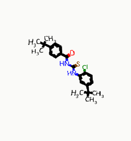 CC(C)(C)c1ccc(C(=O)NC(=S)Nc2cc(C(C)(C)C)ccc2Cl)cc1